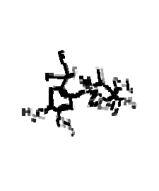 Cc1cc(C(F)(F)F)c(S(=O)(=O)NC(C)(C)C)cc1C